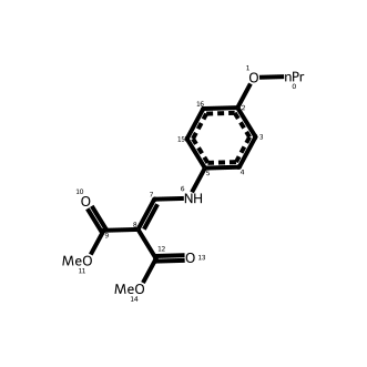 CCCOc1ccc(NC=C(C(=O)OC)C(=O)OC)cc1